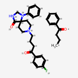 CCCC(=O)c1ccccc1.O=C(CCCN1CCC2(CC1)C(=O)NCN2c1ccccc1)c1ccc(F)cc1